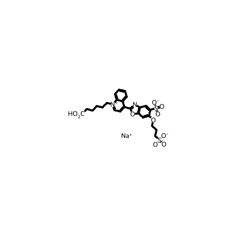 O=C(O)CCCCC[n+]1ccc(-c2nc3cc(S(=O)(=O)[O-])c(OCCCS(=O)(=O)[O-])cc3o2)c2ccccc21.[Na+]